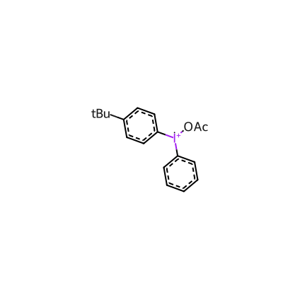 CC(=O)O[I+](c1ccccc1)c1ccc(C(C)(C)C)cc1